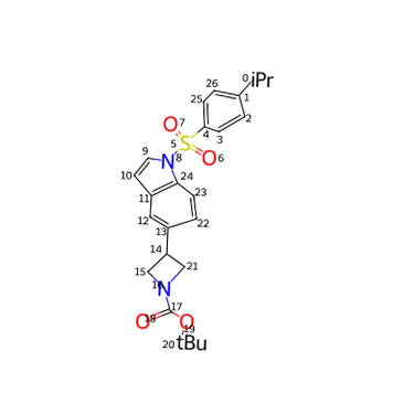 CC(C)c1ccc(S(=O)(=O)n2ccc3cc(C4CN(C(=O)OC(C)(C)C)C4)ccc32)cc1